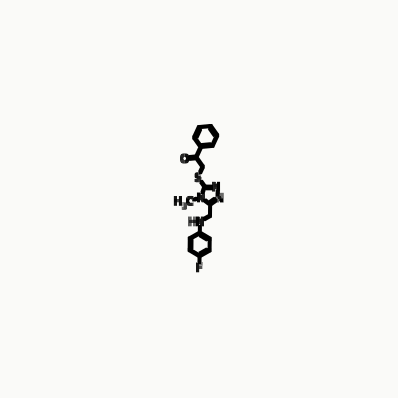 Cn1c(CNc2ccc(F)cc2)nnc1SCC(=O)c1ccccc1